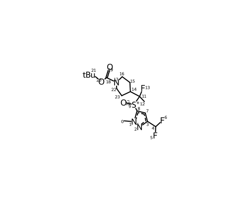 Cn1nc(C(F)F)cc1[S+]([O-])C(C)(F)C1CCN(C(=O)OC(C)(C)C)CC1